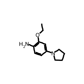 CCOc1cc(N2CCCC2)ccc1N